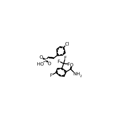 NC(=O)c1ccc(F)cc1C(F)(F)F.O=S(=O)(O)/C=C/c1ccc(Cl)cc1